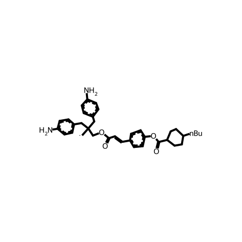 [CH2]C(COC(=O)/C=C/c1ccc(OC(=O)C2CCC(CCCC)CC2)cc1)(Cc1ccc(N)cc1)Cc1ccc(N)cc1